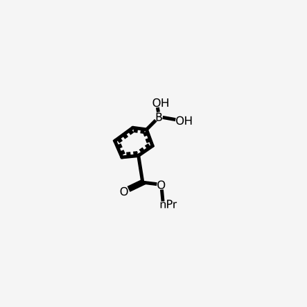 CCCOC(=O)c1cccc(B(O)O)c1